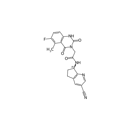 Cc1c(F)ccc2[nH]c(=O)n(CC(=O)N[C@@H]3CCc4cc(C#N)cnc43)c(=O)c12